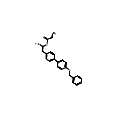 CCC(=O)OC(C)Cc1ccc(-c2ccc(OCc3ccccc3)cc2)cc1